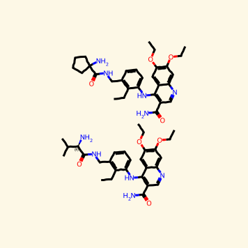 CCOc1cc2ncc(C(N)=O)c(Nc3cccc(CNC(=O)C4(N)CCCC4)c3CC)c2cc1OCC.CCOc1cc2ncc(C(N)=O)c(Nc3cccc(CNC(=O)[C@H](N)C(C)C)c3CC)c2cc1OCC